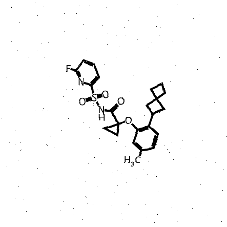 Cc1ccc(C2CC3(CCC3)C2)c(OC2(C(=O)NS(=O)(=O)c3cccc(F)n3)CC2)c1